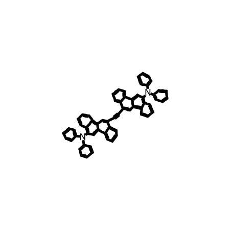 C(#Cc1cc2c3ccccc3c(N(c3ccccc3)c3ccccc3)cc2c2ccccc12)c1cc2c3ccccc3c(N(c3ccccc3)c3ccccc3)cc2c2ccccc12